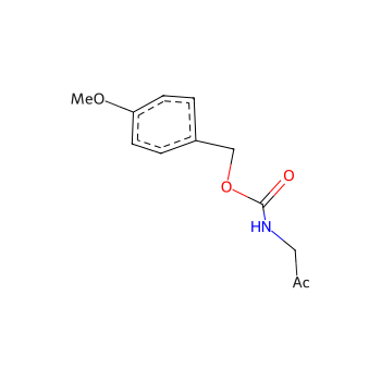 COc1ccc(COC(=O)NCC(C)=O)cc1